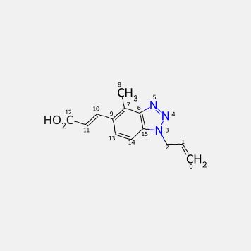 C=CCn1nnc2c(C)c(C=CC(=O)O)ccc21